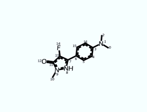 CN(C)c1ccc(-c2[nH]n(C)c(=O)c2F)cc1